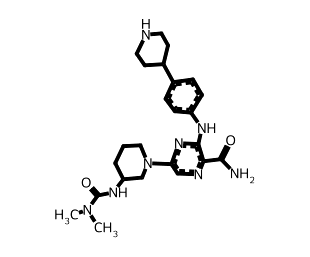 CN(C)C(=O)NC1CCCN(c2cnc(C(N)=O)c(Nc3ccc(C4CCNCC4)cc3)n2)C1